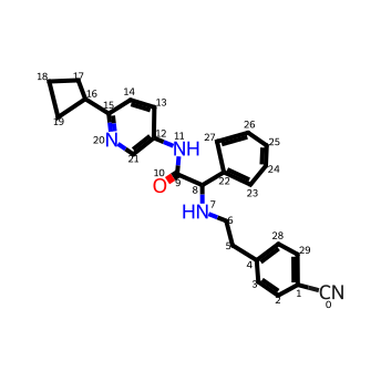 N#Cc1ccc(CCNC(C(=O)Nc2ccc(C3CCC3)nc2)c2ccccc2)cc1